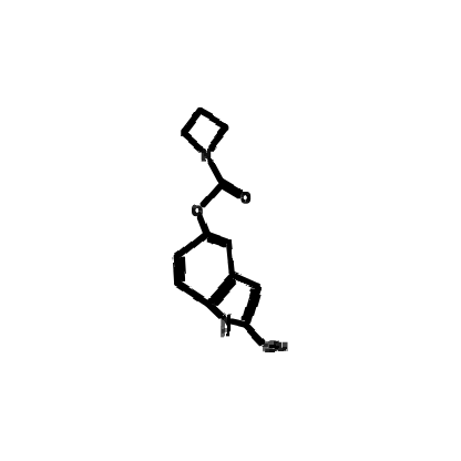 CC(C)(C)c1cc2cc(OC(=O)N3CCC3)ccc2[nH]1